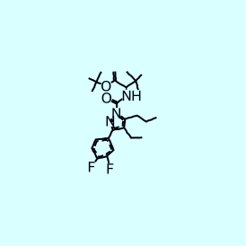 C=C(OC(C)(C)C)[C@@H](NC(=O)n1nc(-c2ccc(F)c(F)c2)c(CC)c1CCC)C(C)(C)C